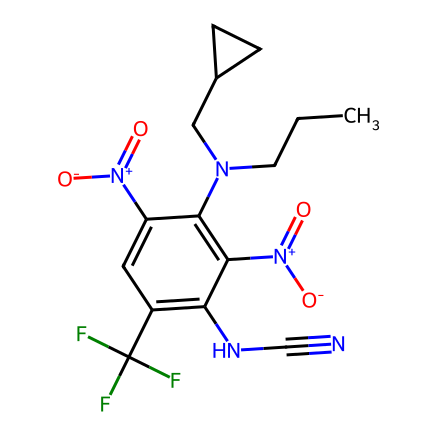 CCCN(CC1CC1)c1c([N+](=O)[O-])cc(C(F)(F)F)c(NC#N)c1[N+](=O)[O-]